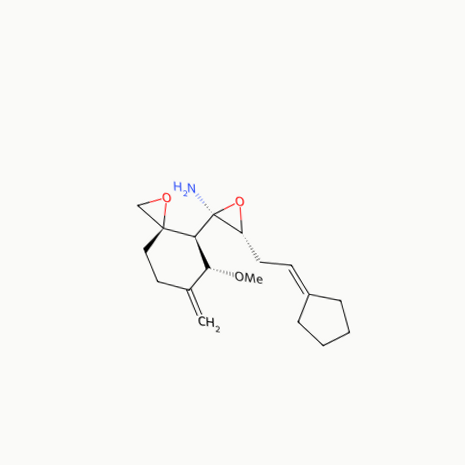 C=C1CC[C@]2(CO2)[C@@H]([C@@]2(N)O[C@@H]2CC=C2CCCC2)[C@@H]1OC